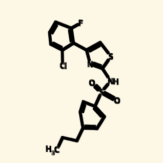 CCCc1ccc(S(=O)(=O)Nc2nc(-c3c(F)cccc3Cl)cs2)cc1